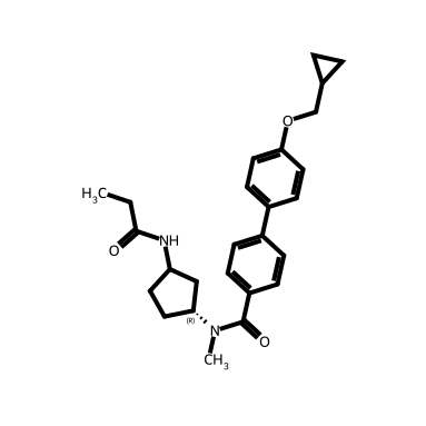 CCC(=O)NC1CC[C@@H](N(C)C(=O)c2ccc(-c3ccc(OCC4CC4)cc3)cc2)C1